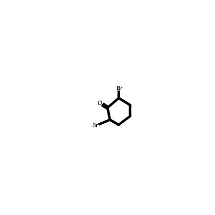 O=C1C(Br)CCCC1Br